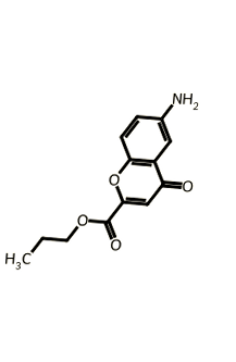 CCCOC(=O)c1cc(=O)c2cc(N)ccc2o1